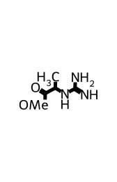 COC(=O)C(C)NC(=N)N